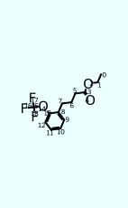 CCOC(=O)CCCc1ccccc1OC(F)(F)F